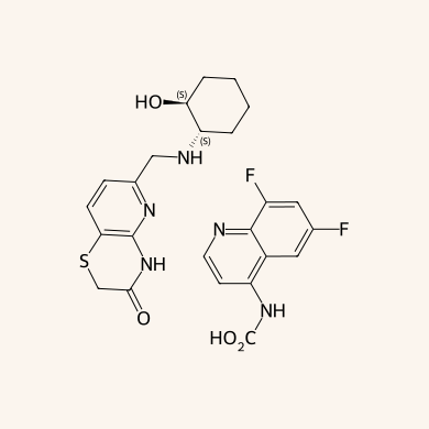 O=C(O)Nc1ccnc2c(F)cc(F)cc12.O=C1CSc2ccc(CN[C@H]3CCCC[C@@H]3O)nc2N1